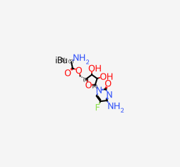 CC[C@H](C)[C@H](N)C(=O)OC[C@H]1O[C@@H](n2cc(F)c(N)nc2=O)C(O)C1O